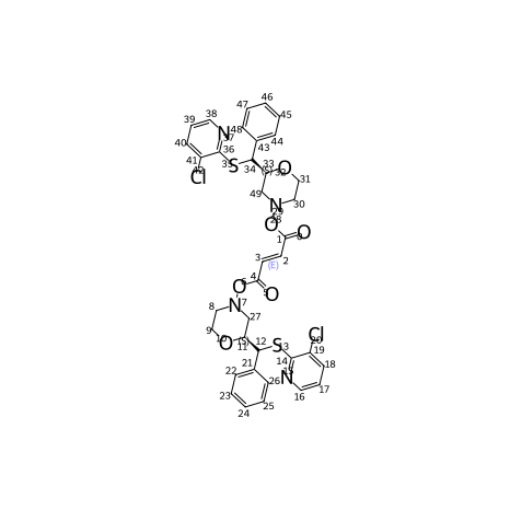 O=C(/C=C/C(=O)ON1CCO[C@H](C(Sc2ncccc2Cl)c2ccccc2)C1)ON1CCO[C@H](C(Sc2ncccc2Cl)c2ccccc2)C1